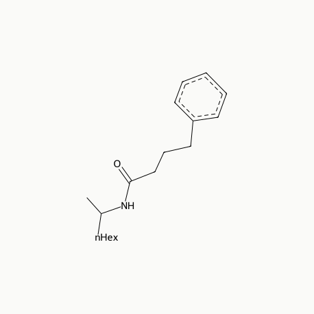 CCCCCCC(C)NC(=O)CCCc1ccccc1